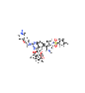 Cc1ccc(S(=O)(=O)n2ccc3c2CN(C)C=C3c2ccc3nc(N4CC(OC5CCNCC5)C4)nc([C@@](COC4CCCCO4)(OC4CC4)c4ccccc4)c3c2)cc1